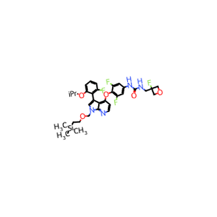 CC(C)Oc1cccc(F)c1-c1cn(COCC[Si](C)(C)C)c2nccc(Oc3c(F)cc(NC(=O)NCC4(F)COC4)cc3F)c12